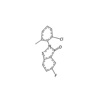 Cc1cccc(Cl)c1-n1sc2ccc(F)cc2c1=O